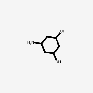 NC1CC(O)CC(O)C1